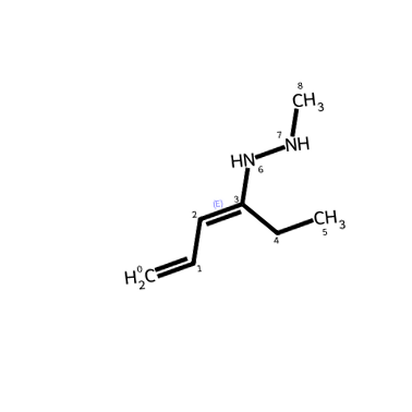 C=C/C=C(\CC)NNC